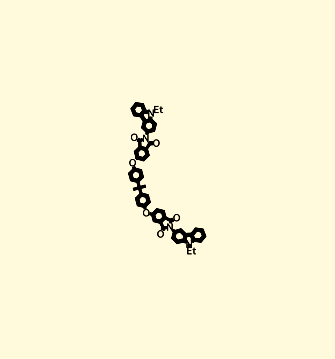 CCn1c2ccccc2c2cc(N3C(=O)c4ccc(Oc5ccc(C(C)(C)c6ccc(Oc7ccc8c(c7)C(=O)N(c7ccc9c(c7)c7ccccc7n9CC)C8=O)cc6)cc5)cc4C3=O)ccc21